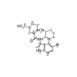 N[C@@H]1CCCN(c2c(Br)cnc3[nH]cc(NC(=O)N4CCOC(C(=O)O)C4)c23)C1